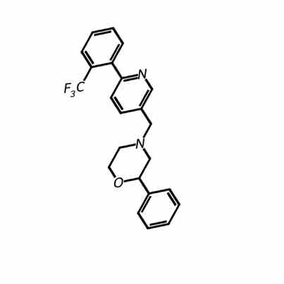 FC(F)(F)c1ccccc1-c1ccc(CN2CCOC(c3ccccc3)C2)cn1